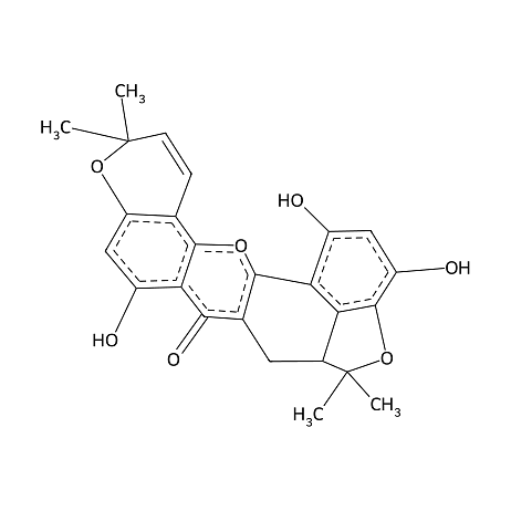 CC1(C)C=Cc2c(cc(O)c3c(=O)c4c(oc23)-c2c(O)cc(O)c3c2C(C4)C(C)(C)O3)O1